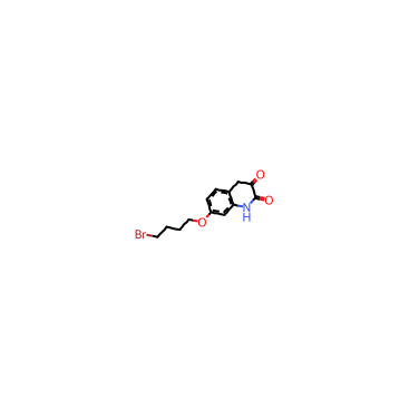 O=C1Cc2ccc(OCCCCBr)cc2NC1=O